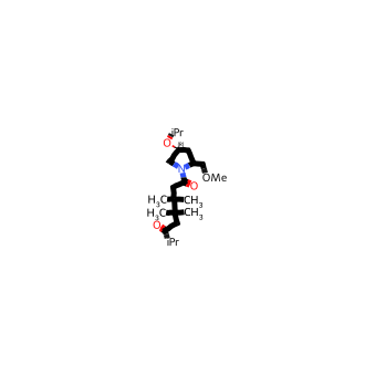 COCC1C[C@@H](OC(C)C)CN1C(=O)CC(C)(C)C(C)(C)CC(=O)C(C)C